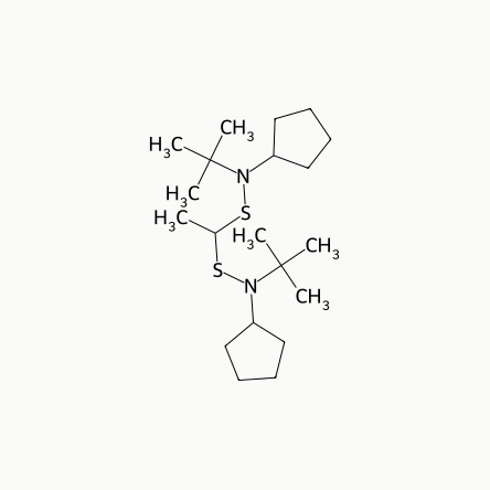 CC(SN(C1CCCC1)C(C)(C)C)SN(C1CCCC1)C(C)(C)C